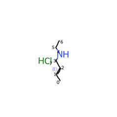 C/C=C/CNCC.Cl